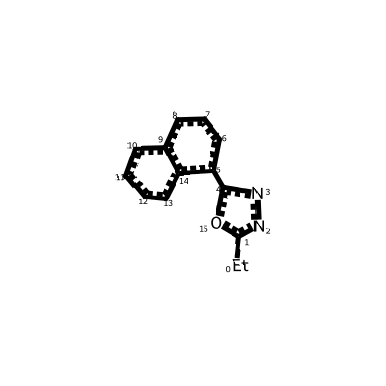 CCc1nnc(-c2cccc3ccccc23)o1